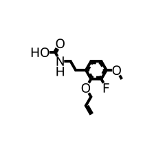 C=CCOc1c(CCNC(=O)O)ccc(OC)c1F